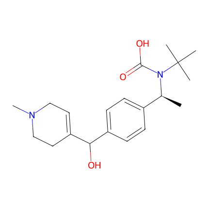 C[C@@H](c1ccc(C(O)C2=CCN(C)CC2)cc1)N(C(=O)O)C(C)(C)C